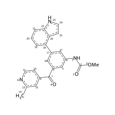 COC(=O)Nc1cc(C(=O)c2ccnc(C)c2)cc(-c2cccc3[nH]ccc23)c1